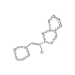 ClC(=Cc1ccccc1)c1ccc2ccccc2n1